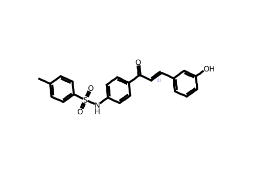 Cc1ccc(S(=O)(=O)Nc2ccc(C(=O)/C=C/c3cccc(O)c3)cc2)cc1